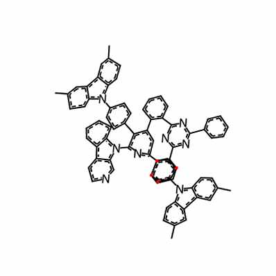 Cc1ccc2c(c1)c1cc(C)ccc1n2-c1ccc(-c2cc(-c3ccccc3-c3nc(-c4ccccc4)nc(-c4ccccc4)n3)c(-c3ccc(-n4c5ccc(C)cc5c5cc(C)ccc54)cc3)c(-n3c4ccccc4c4ccncc43)n2)cc1